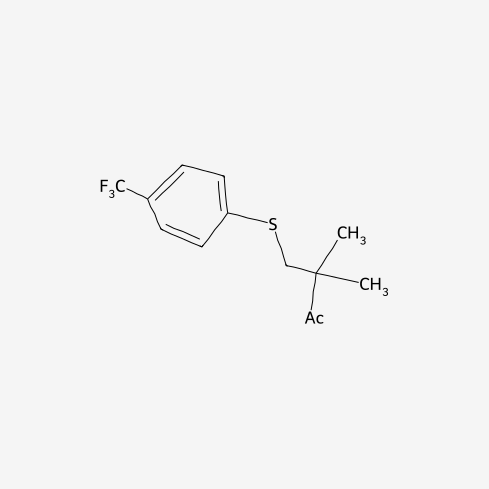 CC(=O)C(C)(C)CSc1ccc(C(F)(F)F)cc1